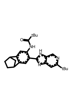 CC(C)(C)C(=O)Nc1cc2c(cc1-c1nc3cc(C(C)(C)C)ncc3[nH]1)C1CCC2C1